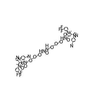 Cc1c(-c2ccnn2-c2ccc(C#N)cc2)cc(C(=O)NCCOCCOCCOCCNC(=O)NCCOCCOCCOCCNC(=O)c2cc(-c3ccnn3-c3ccc(C#N)cc3)c(C)n(-c3cccc(C(F)(F)F)c3)c2=O)c(=O)n1-c1cccc(C(F)(F)F)c1